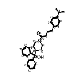 CC(C)c1ccc(CCCC(=O)N2CCC(C(O)(c3ccccc3)c3ccccc3)CC2)cc1